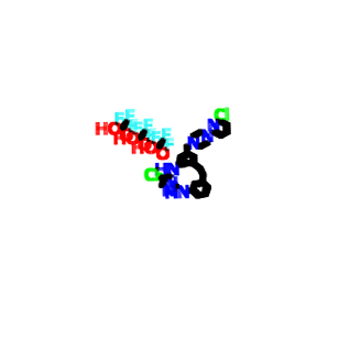 Clc1cccc(N2CCN(Cc3cc4cc(c3)Nc3nc(ncc3Cl)Nc3cccc(c3)CC4)CC2)n1.O=C(O)C(F)(F)F.O=C(O)C(F)(F)F.O=C(O)C(F)(F)F